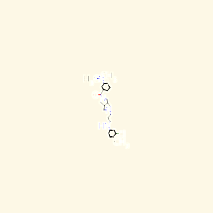 Cc1ccc(NCCCN2CC3CN(C(=O)c4cccc(N(C)C)c4)CC3C2)cc1Cl